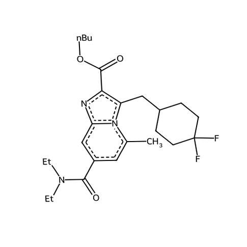 CCCCOC(=O)c1nc2cc(C(=O)N(CC)CC)cc(C)n2c1CC1CCC(F)(F)CC1